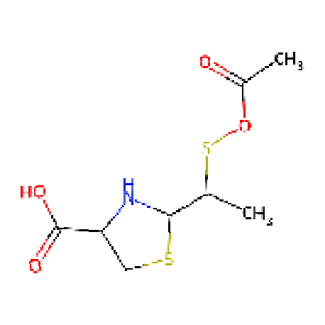 CC(=O)OSC(C)C1NC(C(=O)O)CS1